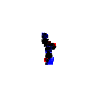 CNC(=O)Nc1ccc(-c2ncc3c(n2)N2CCOCC2C(=O)N3Cc2ccc(-n3cncn3)cc2)cc1